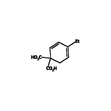 CCC1=CCC(C(=O)O)(C(=O)O)C=C1